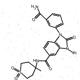 CC(C)n1c(=O)n(-c2cccc(C(N)=O)c2)c2ccc(C(=O)NC3(C)CCS(=O)(=O)CC3)cc21